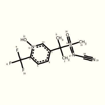 CC(C)(c1ccc(C(F)(F)F)[n+](O)c1)S(C)(=O)=NC#N